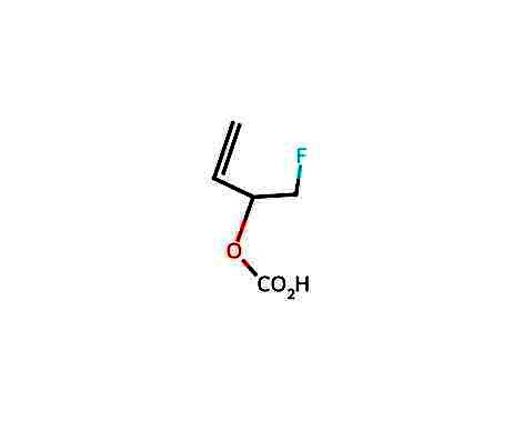 C=CC(CF)OC(=O)O